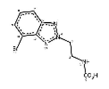 O=C(O)NCCn1nc2cccc(Br)c2n1